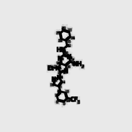 CCn1c(-n2cc(-c3cccc(C(F)(F)F)c3)cn2)nc2c(N)nc(NCc3ccccc3)nc21